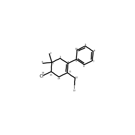 CC1(C)CC(c2ccccc2)=C(CI)CC1Cl